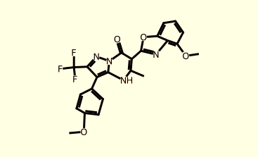 COc1ccc(-c2c(C(F)(F)F)nn3c(=O)c(-c4nc5c(OC)cccc5o4)c(C)[nH]c23)cc1